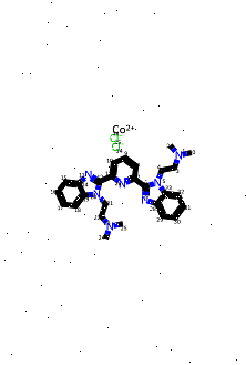 CN(C)CCn1c(-c2cccc(-c3nc4ccccc4n3CCN(C)C)n2)nc2ccccc21.[Cl-].[Cl-].[Co+2]